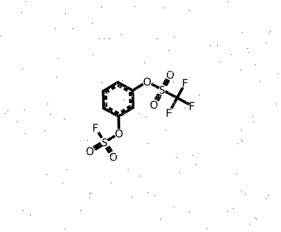 O=S(=O)(F)Oc1cccc(OS(=O)(=O)C(F)(F)F)c1